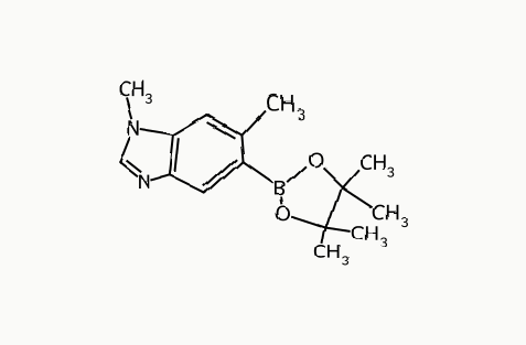 Cc1cc2c(cc1B1OC(C)(C)C(C)(C)O1)ncn2C